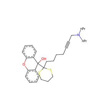 CCCN(CC#CCCCCC1(C2(O)c3ccccc3Oc3ccccc32)SCCCS1)CCC